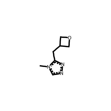 Cn1cnnc1CC1COC1